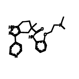 CN(C)CCOc1ccccc1NC(=O)C1(C)CCc2[nH]nc(-c3ccncc3)c2C1